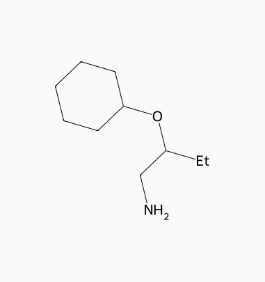 CCC(CN)OC1CCCCC1